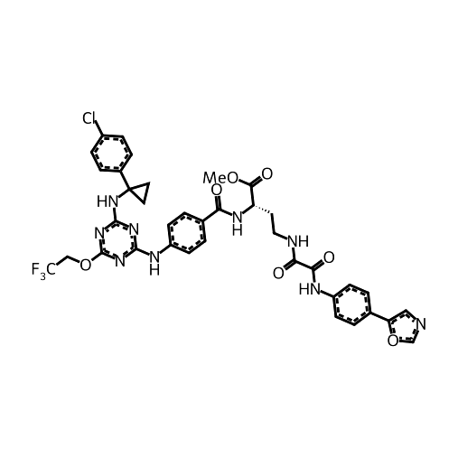 COC(=O)[C@H](CCNC(=O)C(=O)Nc1ccc(-c2cnco2)cc1)NC(=O)c1ccc(Nc2nc(NC3(c4ccc(Cl)cc4)CC3)nc(OCC(F)(F)F)n2)cc1